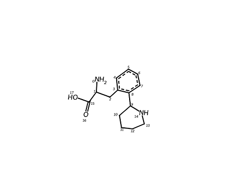 NC(Cc1ccccc1C1CCCCN1)C(=O)O